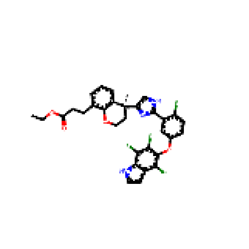 CCOC(=O)CCc1cccc2c1OCC[C@]2(C)c1c[nH]c(-c2cc(Oc3c(F)c(F)c4[nH]ccc4c3F)ccc2F)n1